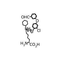 NC1CCCCC1.NCCCC[C@H](N)C(=O)O.O=Cc1cccc(Oc2ccc(Cl)c(Cl)c2)c1